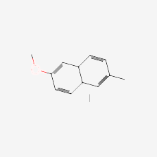 COC1=CC2C=CC(C)=C[C@H]2C=C1